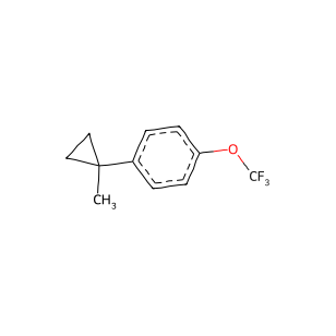 CC1(c2ccc(OC(F)(F)F)cc2)CC1